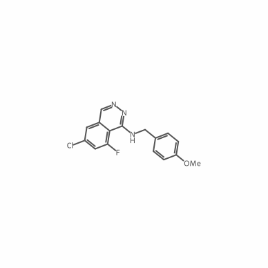 COc1ccc(CNc2nncc3cc(Cl)cc(F)c23)cc1